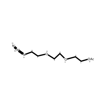 CC(=O)OCCOCCOCCN=[N+]=[N-]